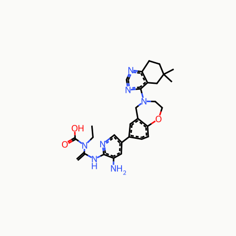 C=C(Nc1ncc(-c2ccc3c(c2)CN(c2ncnc4c2CC(C)(C)CC4)CCO3)cc1N)N(CC)C(=O)O